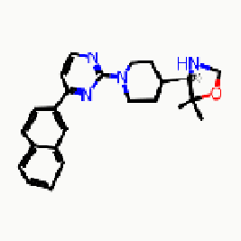 CC1(C)OCN[C@@H]1C1CCN(c2nccc(-c3ccc4ccccc4c3)n2)CC1